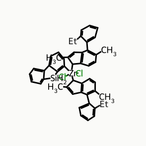 CCc1ccccc1-c1c(C)ccc2c1C=C(C)[CH]2[Zr]([Cl])([Cl])([c]1cccc2c1[SiH2]c1ccccc1-2)[CH]1C(C)=Cc2c1ccc(C)c2-c1ccccc1CC